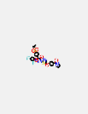 O=C(Nc1ncc(Oc2ccc(C(=O)N3CCCC3)cc2)s1)C(Oc1ccc(F)cc1F)c1ccc(S(=O)(=O)C2CC2)cc1